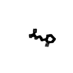 O=C(Cl)OCCC1CCCCN1